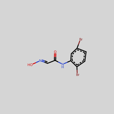 O=C(/C=N/O)Nc1cc(Br)ccc1Br